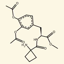 COC(=O)[C@H](Cc1ccc(OC(C)=O)c(OC(C)=O)c1)NC(=O)C1(N)CCC1